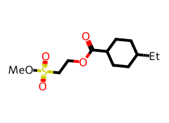 CCC1CCC(C(=O)OCCS(=O)(=O)OC)CC1